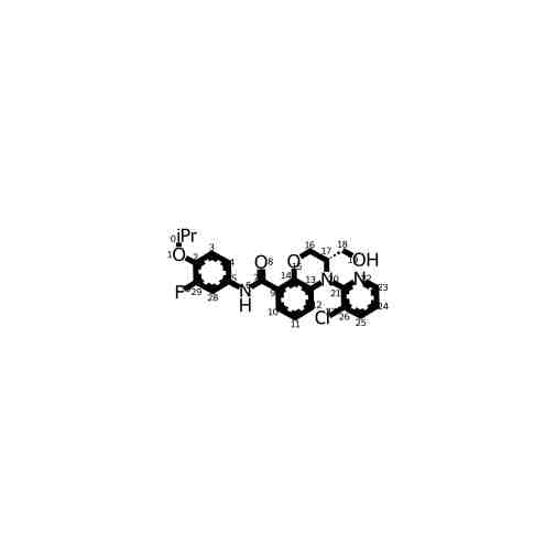 CC(C)Oc1ccc(NC(=O)c2cccc3c2OC[C@H](CO)N3c2ncccc2Cl)cc1F